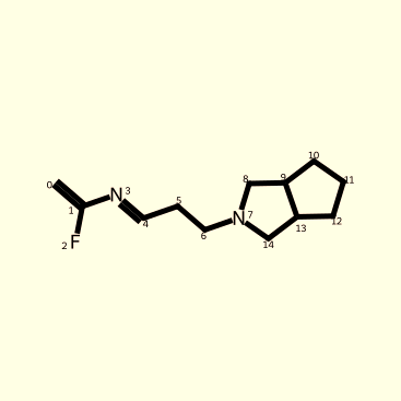 C=C(F)/N=C/CCN1CC2CCCC2C1